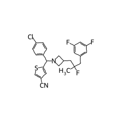 CC(F)(Cc1cc(F)cc(F)c1)CC1CN(C(c2ccc(Cl)cc2)c2cc(C#N)cs2)C1